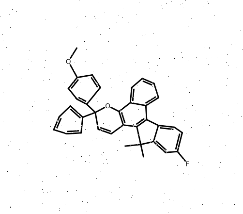 COc1ccc(C2(c3ccccc3)C=Cc3c4c(c5ccccc5c3O2)-c2ccc(F)cc2C4(C)C)cc1